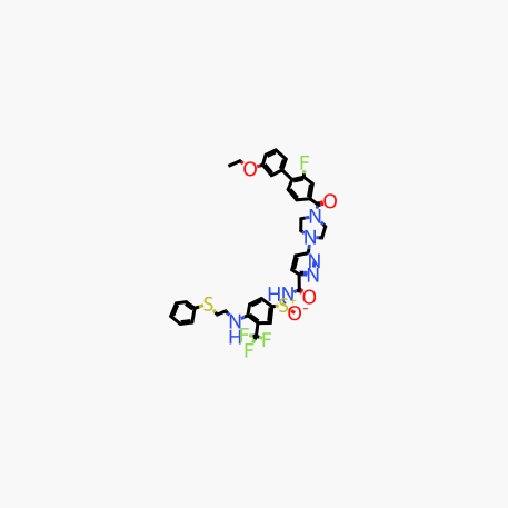 CCOc1cccc(-c2ccc(C(=O)N3CCN(c4ccc(C(=O)N[S+]([O-])c5ccc(NCCSc6ccccc6)c(C(F)(F)F)c5)nn4)CC3)cc2F)c1